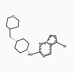 Brc1ccn2nc(N[C@H]3CC[C@@H](CN4CCOCC4)CC3)ncc12